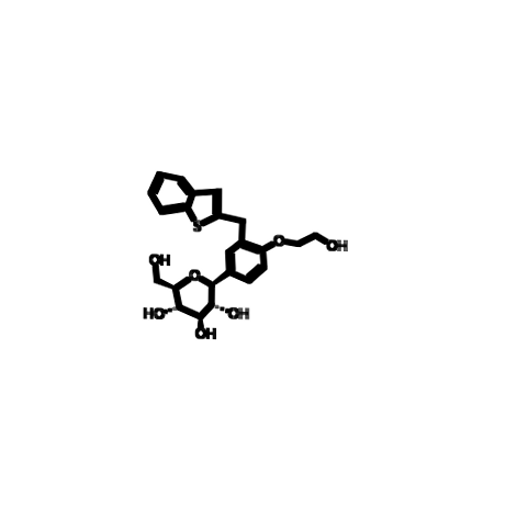 OCCOc1ccc([C@@H]2O[C@H](CO)[C@@H](O)[C@H](O)[C@H]2O)cc1Cc1cc2ccccc2s1